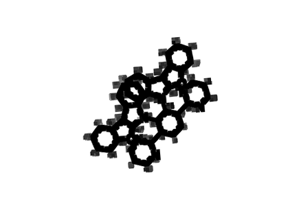 c1cnc(-c2ccc(-c3ncccn3)c(-n3c4ccccc4c4c5ccccc5oc43)c2-n2c3ccccc3c3c4ccccc4oc32)nc1